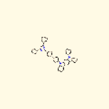 c1ccc(-c2cc(-c3ccccc3)nc(-c3ccc(-c4ccc(-n5c6ccccc6c6cc7c8ccccc8n(-c8ccccc8)c7cc65)cc4)cc3)n2)cc1